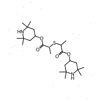 CC(SC(C)C(=O)OC1CC(C)(C)NC(C)(C)C1)C(=O)OC1CC(C)(C)NC(C)(C)C1